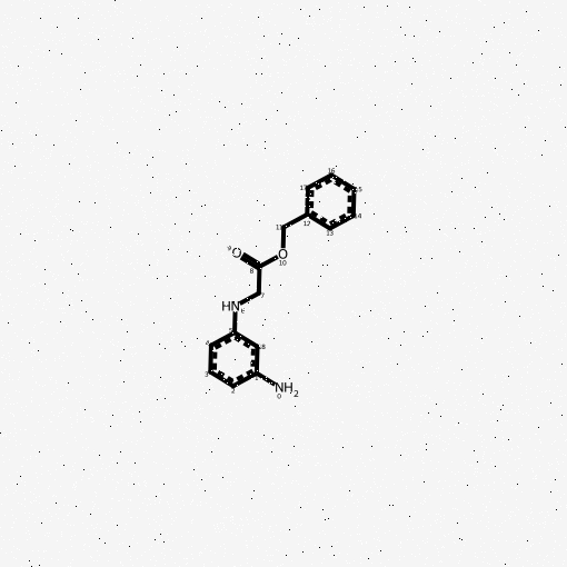 Nc1cccc(NCC(=O)OCc2ccccc2)c1